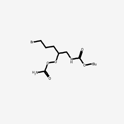 CC(C)(C)OC(=O)NCC(CCCBr)OOC(N)=O